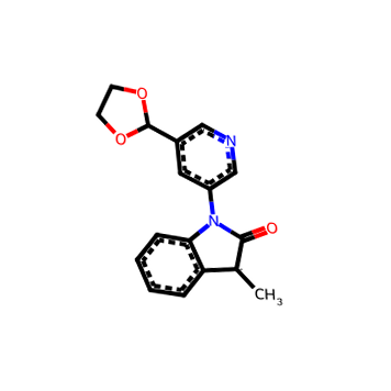 C[C]1C(=O)N(c2cncc(C3OCCO3)c2)c2ccccc21